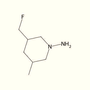 CC1CC(CF)CN(N)C1